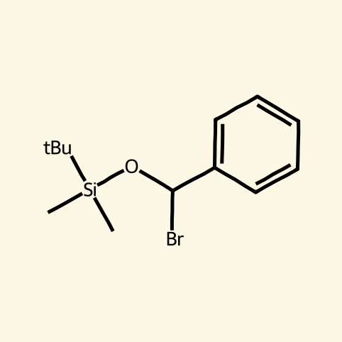 CC(C)(C)[Si](C)(C)OC(Br)c1ccccc1